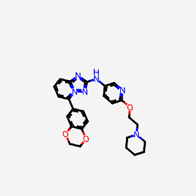 c1cc(-c2ccc3c(c2)OCCO3)n2nc(Nc3ccc(OCCN4CCCCC4)nc3)nc2c1